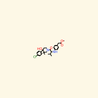 COC(=O)Cc1ccc(N[C@@H](C(=O)N2CC[C@](O)(c3ccc(Cl)cc3)C(C)(C)C2)C(C)C)cc1